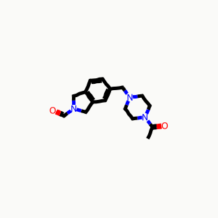 CC(=O)N1CCN(Cc2ccc3c(c2)CN(C=O)C3)CC1